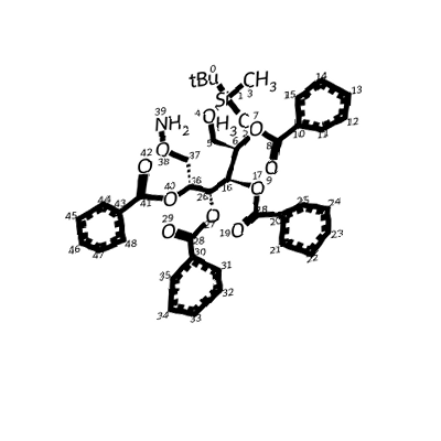 CC(C)(C)[Si](C)(C)OC[C@@H](OC(=O)c1ccccc1)[C@@H](OC(=O)c1ccccc1)[C@H](OC(=O)c1ccccc1)[C@@H](CON)OC(=O)c1ccccc1